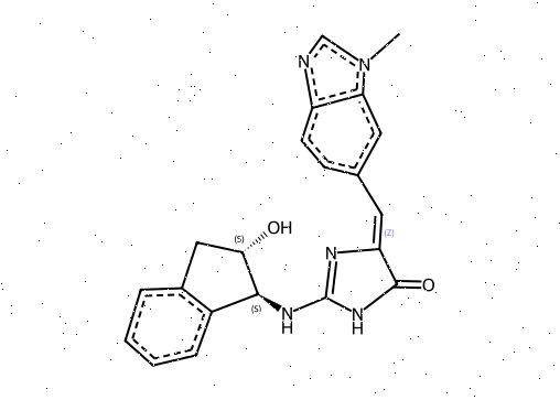 Cn1cnc2ccc(/C=C3\N=C(N[C@H]4c5ccccc5C[C@@H]4O)NC3=O)cc21